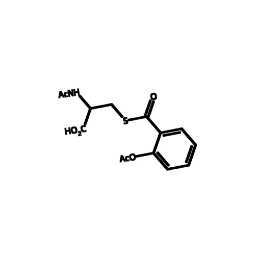 CC(=O)NC(CSC(=O)c1ccccc1OC(C)=O)C(=O)O